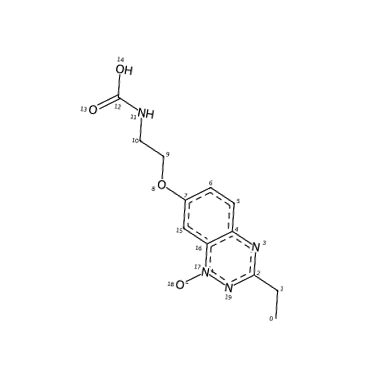 CCc1nc2ccc(OCCNC(=O)O)cc2[n+]([O-])n1